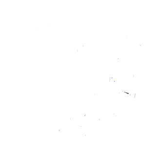 COC(=O)c1ccc([C@H](C)NC(=O)C2(c3cccc(OCc4ccccc4)c3)CCCC2)cc1